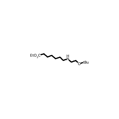 CCOC(=O)CCCCCCNCCOC(C)(C)C